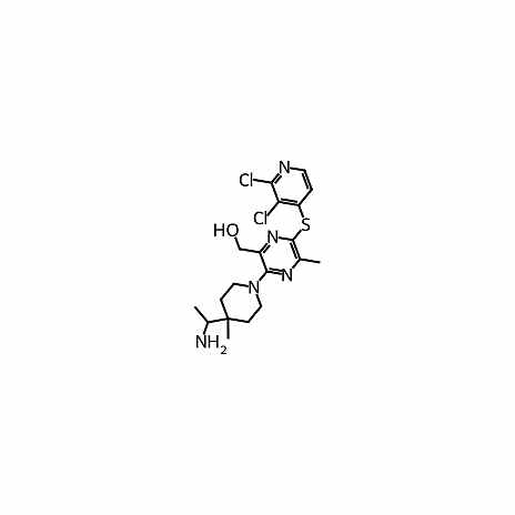 Cc1nc(N2CCC(C)(C(C)N)CC2)c(CO)nc1Sc1ccnc(Cl)c1Cl